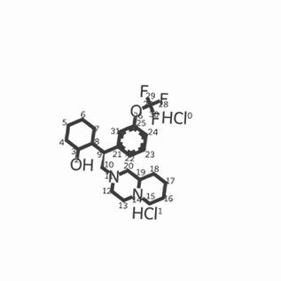 Cl.Cl.OC1CCCCC1[C@H](CN1CCN2CCCCC2C1)c1cccc(OC(F)(F)F)c1